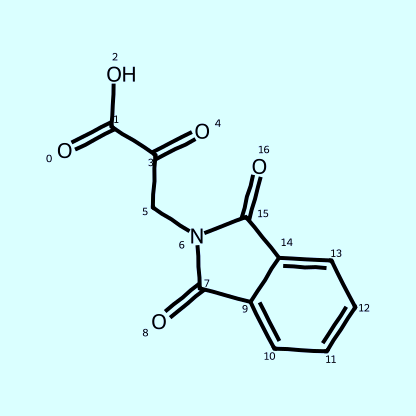 O=C(O)C(=O)CN1C(=O)c2ccccc2C1=O